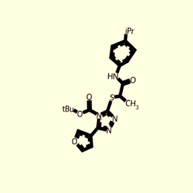 CC(Sc1nnc(-c2ccoc2)n1C(=O)OC(C)(C)C)C(=O)Nc1ccc(C(C)C)cc1